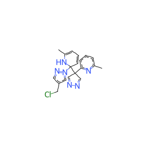 CC1=CC=CC(n2cc(CCl)cn2)(C2(c3cccc(C)n3)C=NN=C2)N1